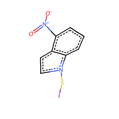 O=[N+]([O-])c1cccc2c1ccn2SI